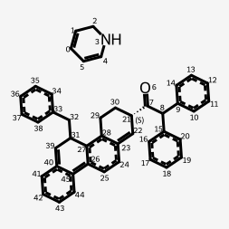 C1=CCNC=C1.O=C(C(c1ccccc1)c1ccccc1)[C@@H]1C=c2ccc3c(c2CC1)C(Cc1ccccc1)C=c1ccccc1=3